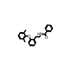 Cc1cccc(C)c1Oc1ccccc1CCNC(=O)c1ccccc1